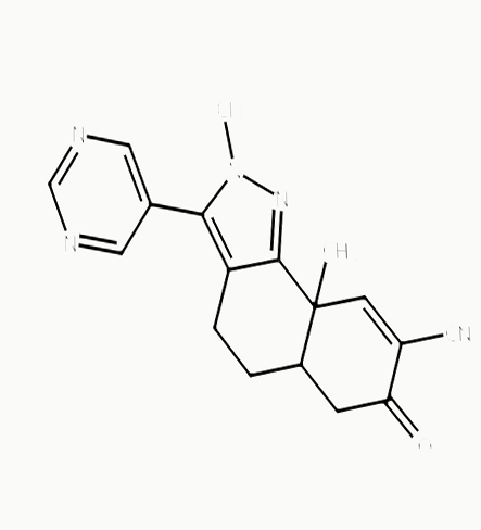 Cn1nc2c(c1-c1cncnc1)CCC1CC(=O)C(C#N)=CC21C